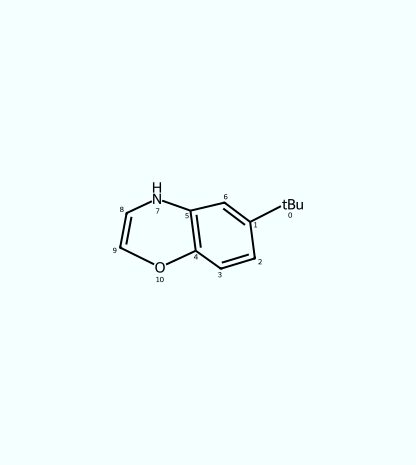 CC(C)(C)c1ccc2c(c1)NC=CO2